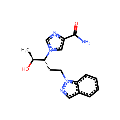 C[C@H](O)[C@@H](CCn1ncc2ccccc21)n1cnc(C(N)=O)c1